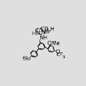 COc1cc(OC(F)(F)F)ccc1-c1cc(CNC(NC(=O)O)NC(=O)O)cc(-c2ccc(C(C)(C)C)cc2)c1